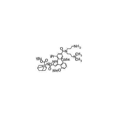 COc1cccc(OC)c1-c1cc(C(=O)NC2(C(=O)OC(C)(C)C)C3CC4CC(C3)CC2C4)nn1-c1ccc(C(=O)N(CCCN)CCCN(C)C)cc1C(C)C